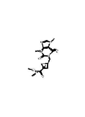 CON(C)C(=O)C12CC(Cn3c(=O)c4c(ncn4C)n(C)c3=O)(C1)C2